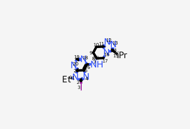 CCn1c(I)nc2c(N[C@@H]3CCc4nnc(C(C)C)n4C3)ncnc21